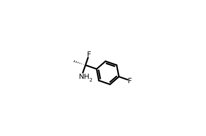 C[C@](N)(F)c1ccc(F)cc1